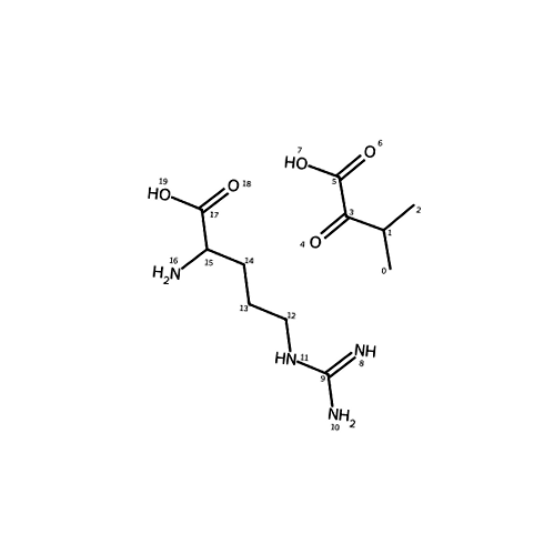 CC(C)C(=O)C(=O)O.N=C(N)NCCCC(N)C(=O)O